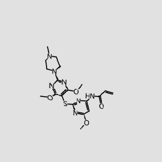 C=CC(=O)Nc1cc(OC)nc(Sc2c(OC)nc(N3CCN(C)CC3)nc2OC)n1